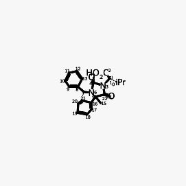 CC(C)[C@@H](C(=O)O)N1C(=O)N(Cc2ccccc2)C(C)(c2ccccc2)C1=O